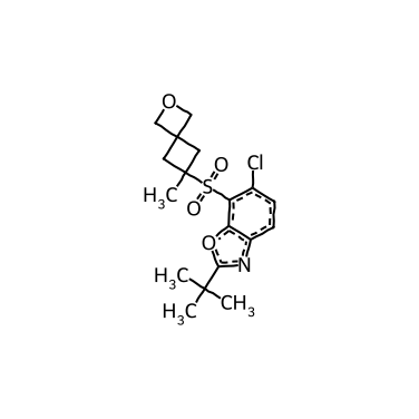 CC(C)(C)c1nc2ccc(Cl)c(S(=O)(=O)C3(C)CC4(COC4)C3)c2o1